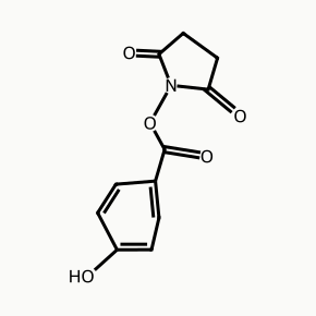 O=C(ON1C(=O)CCC1=O)c1ccc(O)cc1